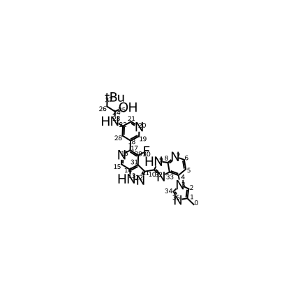 Cc1cn(-c2ccnc3[nH]c(-c4n[nH]c5cnc(-c6cncc(NC(O)CC(C)(C)C)c6)c(F)c45)nc23)cn1